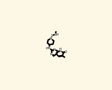 CNSN1CCC(Nc2ncc3cc(C)c(=O)[nH]c3n2)CC1